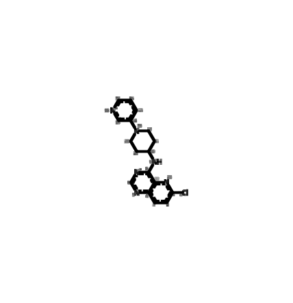 Clc1ccc2ncnc(NC3CCN(c4cccnc4)CC3)c2n1